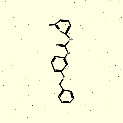 Cc1cccc(NC(=N)Nc2cccc(OCc3ccccc3)c2)n1